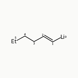 [Li][CH]=CCCCC